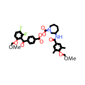 COCOc1ccc(F)c(F)c1C(=O)c1ccc(C(=O)OOC(=O)N2CCCCC(NC(=O)c3cc(C)c(OCOC)c(C)c3)C2)cc1